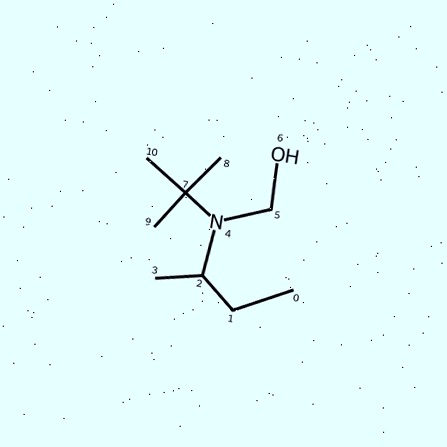 CCC(C)N(CO)C(C)(C)C